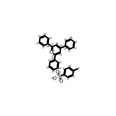 Cc1ccc(S(=O)(=O)[O-])cc1.c1ccc(-c2cc(-c3ccccc3)[o+]c(-c3ccccc3)c2)cc1